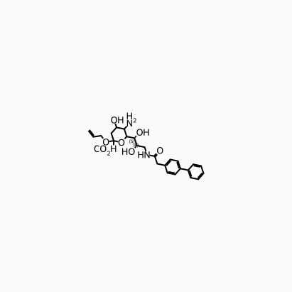 C=CCOC1(C(=O)O)CC(O)C(N)C([C@@H](O)[C@H](O)CNC(=O)Cc2ccc(-c3ccccc3)cc2)O1